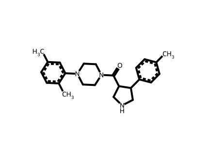 Cc1ccc(C2CNCC2C(=O)N2CCN(c3cc(C)ccc3C)CC2)cc1